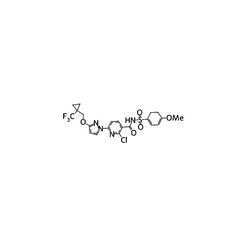 COC1=CC=C(S(=O)(=O)NC(=O)c2ccc(-n3ccc(OCC4(C(F)(F)F)CC4)n3)nc2Cl)CC1